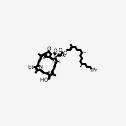 CCC1=C(C)C2=CC3=NC(=C(C)C3=CO)C=C3NC(=C4C5=NC(=CC1=N2)C(C)=C5C(=O)[C@@H]4C(=O)OC)[C@@H](CCC(=O)OC/C=C(\C)CCC[C@H](C)CCC[C@H](C)CCCC(C)C)[C@@H]3C